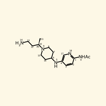 CC(=O)Nc1ccc(NC2CCN([C@H](C)CCN)CC2)cn1